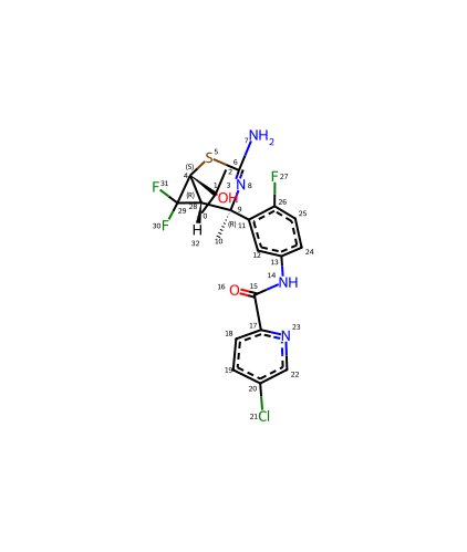 CC(C)(O)[C@@]12SC(N)=N[C@@](C)(c3cc(NC(=O)c4ccc(Cl)cn4)ccc3F)[C@@H]1C2(F)F